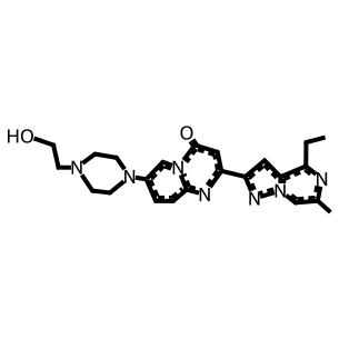 CCc1nc(C)cn2nc(-c3cc(=O)n4cc(N5CCN(CCO)CC5)ccc4n3)cc12